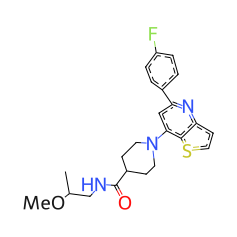 COC(C)CNC(=O)C1CCN(c2cc(-c3ccc(F)cc3)nc3ccsc23)CC1